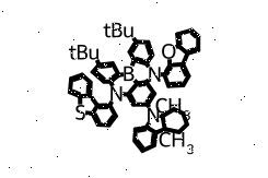 CC(C)(C)c1ccc2c(c1)B1c3cc(C(C)(C)C)ccc3N(c3cccc4sc5ccccc5c34)c3cc(N4c5ccccc5C5(C)CCCCC45C)cc(c31)N2c1cccc2c1oc1ccccc12